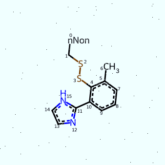 CCCCCCCCCCSSc1c(C)cccc1-c1ncc[nH]1